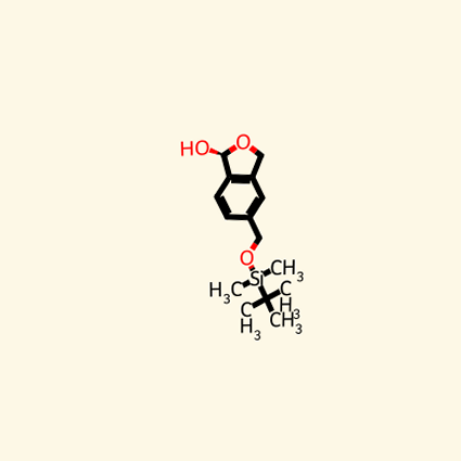 CC(C)(C)[Si](C)(C)OCc1ccc2c(c1)CO[C@@H]2O